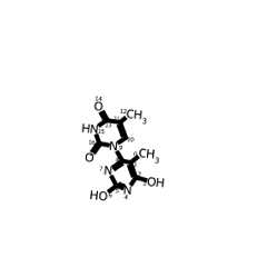 Cc1c(O)nc(O)nc1-n1cc(C)c(=O)[nH]c1=O